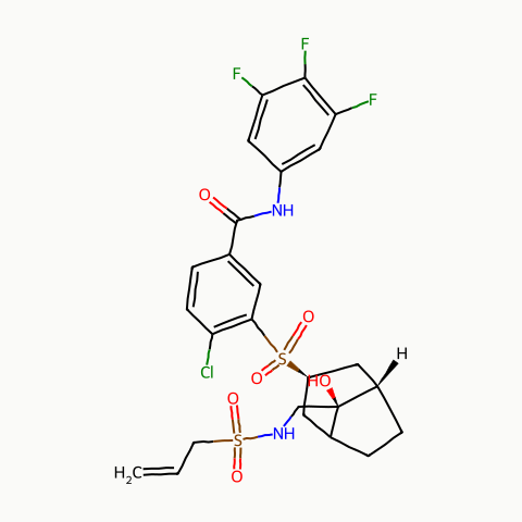 C=CCS(=O)(=O)NC[C@@]1(O)C2CC[C@H]1C[C@H](S(=O)(=O)c1cc(C(=O)Nc3cc(F)c(F)c(F)c3)ccc1Cl)C2